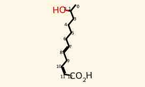 CC(O)CCCC/C=C/C/C=C\C(=O)O